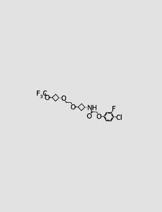 O=C(COc1ccc(Cl)c(F)c1)N[C@H]1C[C@H](OCCO[C@H]2C[C@H](OC(F)(F)F)C2)C1